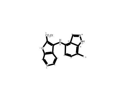 CCOC(=O)c1oc2cnccc2c1Nc1ccc(I)c2[nH]ncc12